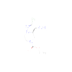 CC(C)(C)OC(=O)N1CCn2nc(Br)c(N)c2C1